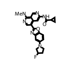 CNc1ncc(-c2nc3cc(N4CCC(F)C4)ccc3o2)c2cc(NC(=O)C3CC3)ncc12